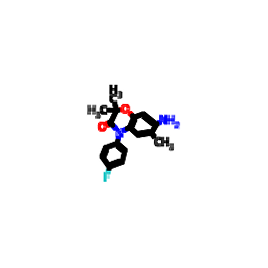 Cc1cc2c(cc1N)OC(C)(C)C(=O)N2c1ccc(F)cc1